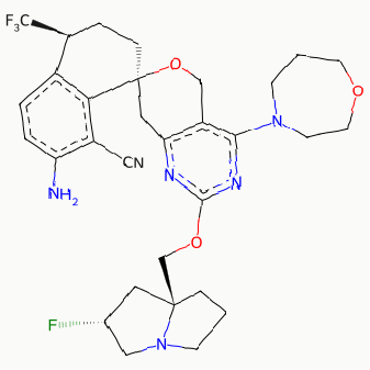 N#Cc1c(N)ccc2c1[C@]1(CC[C@@H]2C(F)(F)F)Cc2nc(OC[C@@]34CCCN3C[C@H](F)C4)nc(N3CCCOCC3)c2CO1